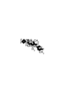 Cc1cc(NC(=O)c2c(C)c(C(O)C(=O)NC3(C)CC(F)(F)C3)n(C)c2C)cnc1F